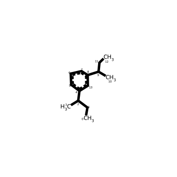 CCC(C)c1c[c]cc(C(C)CC)c1